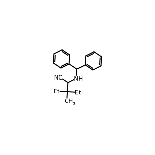 CCC(C)(CC)C(C#N)NC(c1ccccc1)c1ccccc1